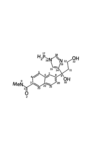 CNC(=O)c1ccc2cc(C(O)(CCO)c3cn(P)cn3)ccc2c1